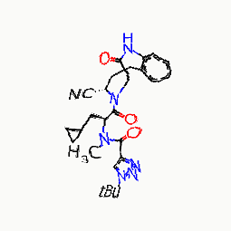 CN(C(=O)c1cn(C(C)(C)C)nn1)[C@@H](CC1CC1)C(=O)N1CC2(C[C@H]1C#N)C(=O)Nc1ccccc12